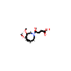 COC1CN(C(=O)CCC(=O)O)CCC#C[C@@H]1OC